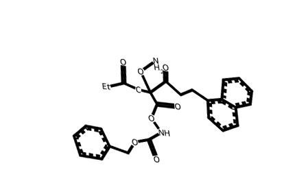 CCC(=O)CC(ON)(C(=O)CCc1cccc2ccccc12)C(=O)ONC(=O)OCc1ccccc1